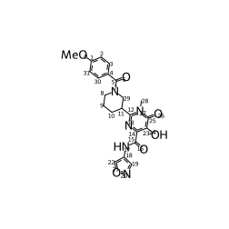 COc1ccc(C(=O)N2CCCC(c3nc(C(=O)Nc4cnoc4)c(O)c(=O)n3C)C2)cc1